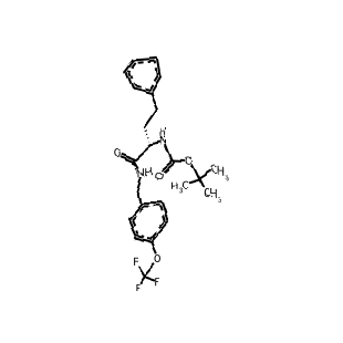 CC(C)(C)OC(=O)N[C@@H](CCc1ccccc1)C(=O)NCc1ccc(OC(F)(F)F)cc1